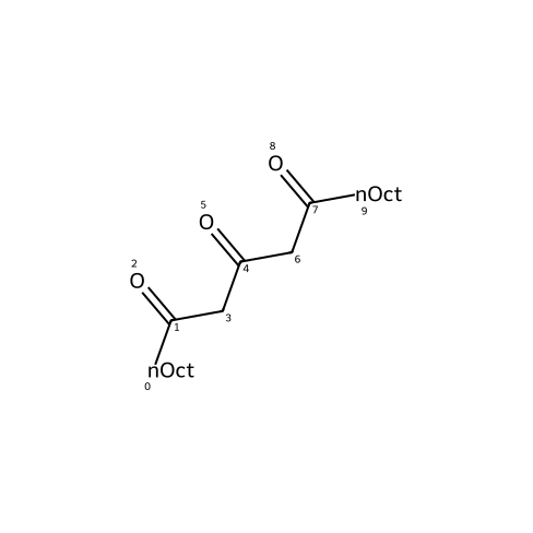 CCCCCCCCC(=O)CC(=O)CC(=O)CCCCCCCC